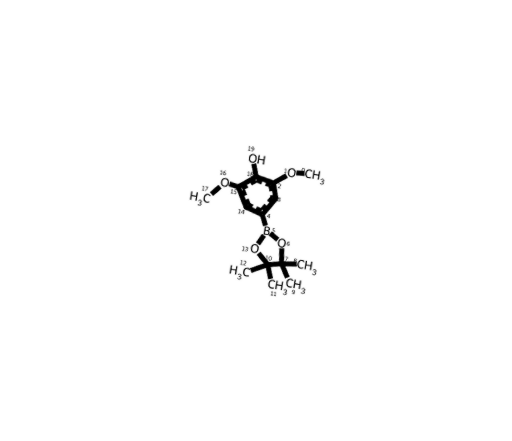 COc1cc(B2OC(C)(C)C(C)(C)O2)cc(OC)c1O